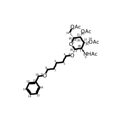 CC(=O)N[C@H]1[C@H](OCCCCCOCc2ccccc2)O[C@H](COC(C)=O)[C@H](OC(C)=O)[C@@H]1OC(C)=O